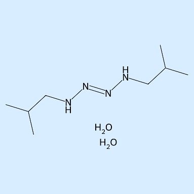 CC(C)CNN=NNCC(C)C.O.O